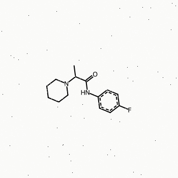 CC(C(=O)Nc1ccc(F)cc1)N1CCCCC1